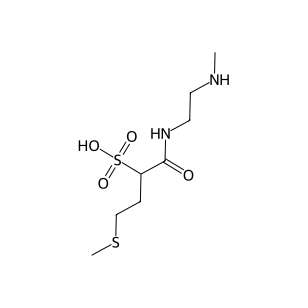 CNCCNC(=O)C(CCSC)S(=O)(=O)O